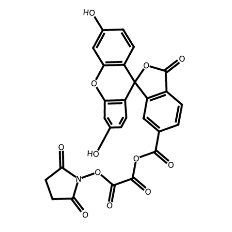 O=C(OC(=O)c1ccc2c(c1)C1(OC2=O)c2ccc(O)cc2Oc2cc(O)ccc21)C(=O)ON1C(=O)CCC1=O